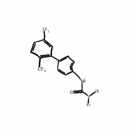 CCN(CC)C(=O)Nc1ccc(-c2cc(C(F)(F)F)ccc2C(F)(F)F)cc1